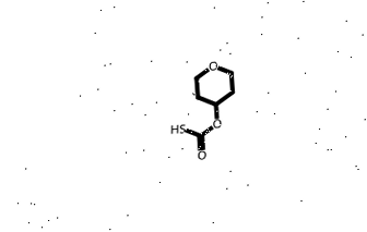 O=C(S)OC1CCOCC1